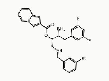 CCc1cccc(CNC[C@@H](OC(=O)c2cc3ccccn3c2)[C@@H](N)Cc2cc(F)cc(F)c2)c1